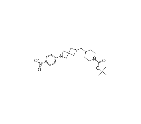 CC(C)(C)OC(=O)N1CCC(CN2CC3(C2)CN(c2ccc([N+](=O)[O-])cc2)C3)CC1